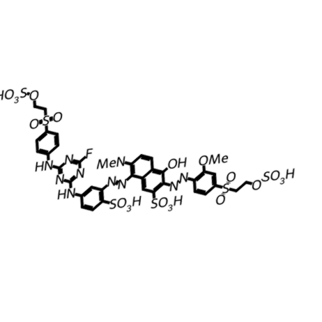 CNc1ccc2c(O)c(/N=N/c3ccc(S(=O)(=O)CCOS(=O)(=O)O)cc3OC)c(S(=O)(=O)O)cc2c1/N=N/c1cc(Nc2nc(F)nc(Nc3ccc(S(=O)(=O)CCOS(=O)(=O)O)cc3)n2)ccc1S(=O)(=O)O